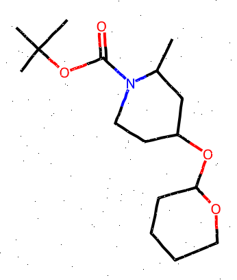 CC1CC(OC2CCCCO2)CCN1C(=O)OC(C)(C)C